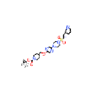 CC1(OC(=O)N2CCC(COc3cnc(N4CCN(S(=O)(=O)/C=C/c5cccnc5)CC4)cn3)CC2)CC1